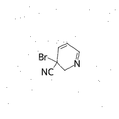 N#CC1(Br)C=CC=NC1